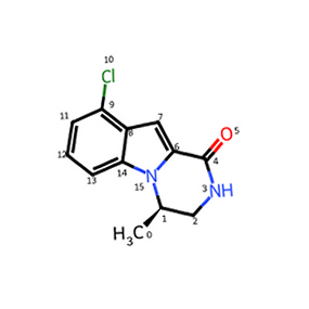 C[C@@H]1CNC(=O)c2cc3c(Cl)cccc3n21